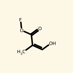 CC(=CO)C(=O)OF